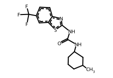 CC1CCCC(NC(=O)Nc2nc3ccc(C(F)(F)F)cc3s2)C1